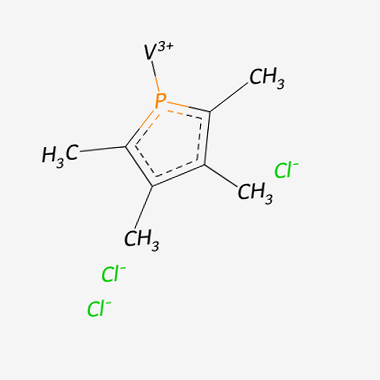 Cc1c(C)c(C)[p]([V+3])c1C.[Cl-].[Cl-].[Cl-]